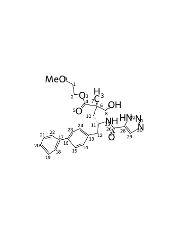 COCCOC(=O)[C@](C)(CO)C[C@@H](Cc1ccc(-c2ccccc2)cc1)NC(=O)c1cnn[nH]1